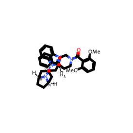 COc1cccc(OC)c1C(=O)N1CCC(CCN2[C@@H]3CC[C@H]2C[C@@H](n2c(C)nc4ccccc42)C3)(c2ccccc2)CC1